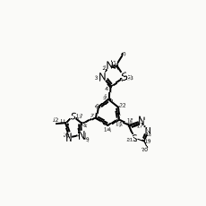 Cc1nnc(-c2cc(-c3nnc(C)s3)cc(-c3nnc(C)s3)c2)s1